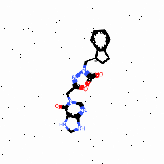 O=c1c2c(ncn1Cc1nn(C[C@@H]3CCc4ccccc43)c(=O)o1)NCN2